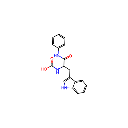 O=C(O)NC(Cc1c[nH]c2ccccc12)C(=O)Nc1ccccc1